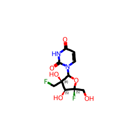 O=c1ccn(C2O[C@](F)(CO)[C@@H](O)[C@]2(O)CF)c(=O)[nH]1